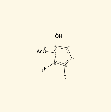 CC(=O)Oc1c(O)ccc(F)c1F